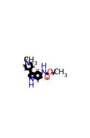 CCOC(=O)Nc1ccc2[nH]cc(C3CCN(C)CC3)c2c1